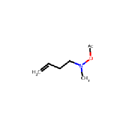 C=CCCN(C)OC(C)=O